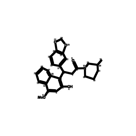 COc1cc(O)c(C(CC(=O)N2CCCC(C)C2)c2ccc3c(c2)OCO3)c2ccccc12